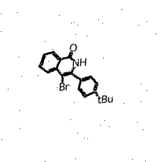 CC(C)(C)c1ccc(-c2[nH]c(=O)c3ccccc3c2Br)cc1